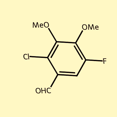 COc1c(F)cc(C=O)c(Cl)c1OC